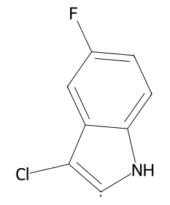 Fc1ccc2[nH][c]c(Cl)c2c1